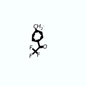 [CH2]c1ccc(C(=O)C(F)(F)F)cc1